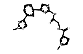 Cn1ccc(C(=O)NCC(=O)Nc2nc(-c3cccc(-c4cnn(C)n4)c3)cs2)c1